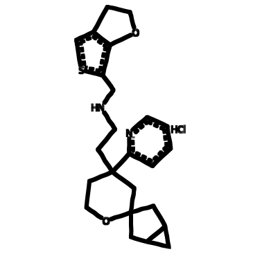 Cl.c1ccc(C2(CCNCc3scc4c3OCC4)CCOC3(CC4CC4C3)C2)nc1